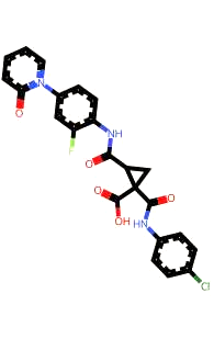 O=C(Nc1ccc(-n2ccccc2=O)cc1F)C1CC1(C(=O)O)C(=O)Nc1ccc(Cl)cc1